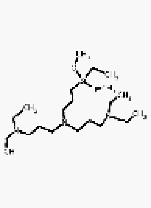 CCN(CC)CCCN(CCCN(CC)CC)CCC[Si](CC)(OC)OC